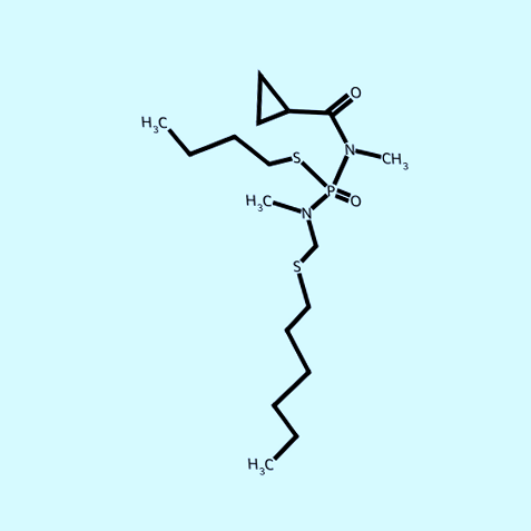 CCCCCCSCN(C)P(=O)(SCCCC)N(C)C(=O)C1CC1